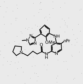 CCCc1cnc(NC(=O)CCCN2CCCC2)cc1Nc1cccc(-c2ncn(C)n2)c1OC